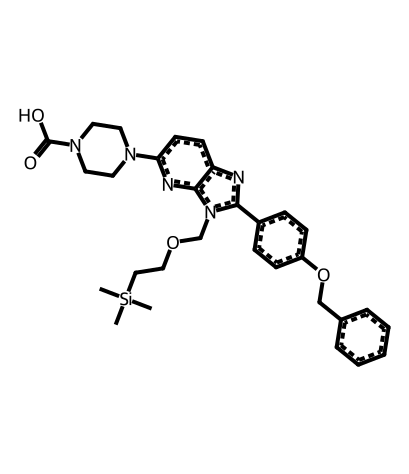 C[Si](C)(C)CCOCn1c(-c2ccc(OCc3ccccc3)cc2)nc2ccc(N3CCN(C(=O)O)CC3)nc21